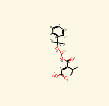 CC(C)C(=CC(=O)O)C(=O)OOOC(C)(C)c1ccccc1